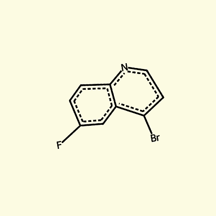 Fc1ccc2nccc(Br)c2c1